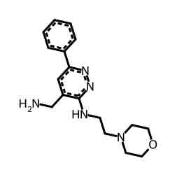 NCc1cc(-c2ccccc2)nnc1NCCN1CCOCC1